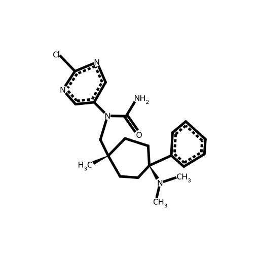 CN(C)[C@]1(c2ccccc2)CC[C@@](C)(CN(C(N)=O)c2cnc(Cl)nc2)CC1